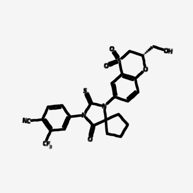 N#Cc1ccc(N2C(=O)C3(CCCC3)N(c3ccc4c(c3)S(=O)(=O)C[C@H](CO)O4)C2=S)cc1C(F)(F)F